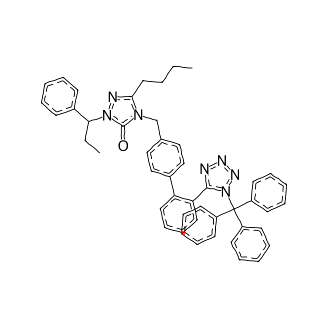 CCCCc1nn(C(CC)c2ccccc2)c(=O)n1Cc1ccc(-c2ccccc2-c2nnnn2C(c2ccccc2)(c2ccccc2)c2ccccc2)cc1